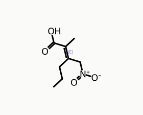 CCC/C(C[N+](=O)[O-])=C(/C)C(=O)O